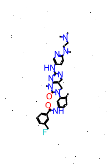 Cc1ccc(NC(=O)c2cccc(CF)c2)cc1N1Cc2cnc(Nc3ccc(N(C)CCN(C)C)nc3)nc2N(C)C1=O